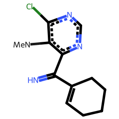 CNc1c(Cl)ncnc1C(=N)C1=CCCCC1